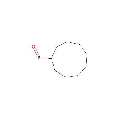 O=PC1CCCCCCCC1